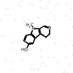 Cn1c2c(c3cc(O)ccc31)CCN=C2